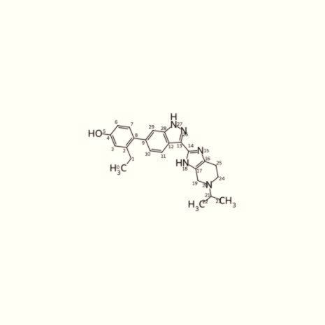 CCc1cc(O)ccc1-c1ccc2c(-c3nc4c([nH]3)CN(C(C)C)CC4)n[nH]c2c1